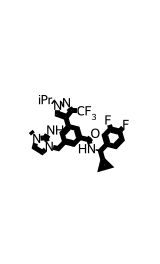 CC(C)n1cc(-c2cc(CN3CCN(C)C3=N)cc(C(=O)N[C@H](c3ccc(F)c(F)c3)C3CC3)c2)c(C(F)(F)F)n1